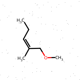 CCC=C(C)COC